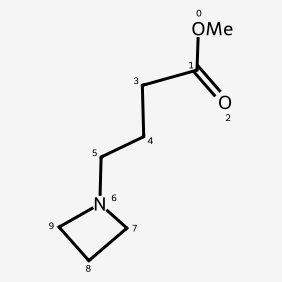 COC(=O)CCCN1CCC1